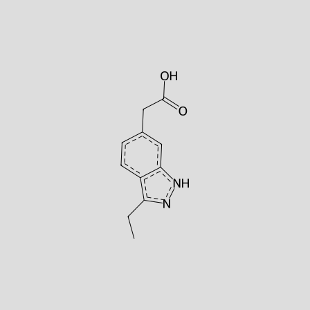 CCc1n[nH]c2cc(CC(=O)O)ccc12